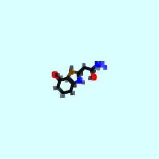 NC(=O)Cc1nc2c(s1)C(=O)CCC2